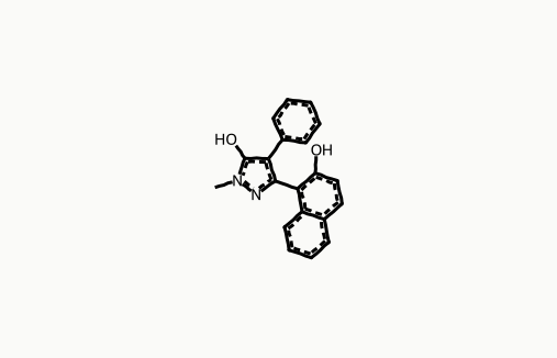 Cn1nc(-c2c(O)ccc3ccccc23)c(-c2ccccc2)c1O